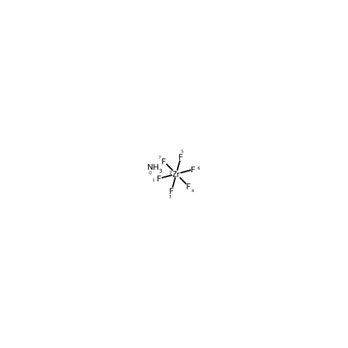 N.[F][Zr]([F])([F])([F])([F])[F]